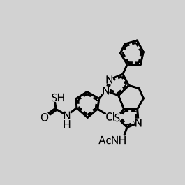 CC(=O)Nc1nc2c(s1)-c1c(c(-c3ccccc3)nn1-c1ccc(NC(=O)S)cc1Cl)CC2